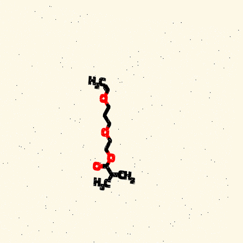 C=COCCCOCCOC(=O)C(=C)C